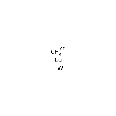 C.[Cu].[W].[Zr]